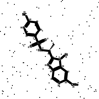 CCn1c([C@@H](C)NS(=O)(=O)c2ccc(C#N)nc2)nc2cnc(OC)cc21